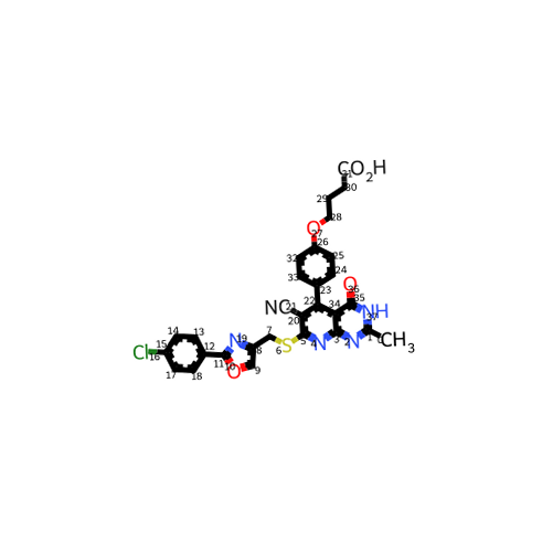 Cc1nc2nc(SCc3coc(-c4ccc(Cl)cc4)n3)c(C#N)c(-c3ccc(OCCCC(=O)O)cc3)c2c(=O)[nH]1